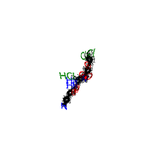 COC(=O)[C@H](Cc1ccc(-c2ccc(C#N)cc2)cc1)NC(=O)C1Cc2cc3c(cc2CN1)OC(c1ccc(OCc2ccc(Cl)c(Cl)c2)cc1)C(=O)N3C.Cl